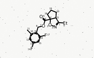 CCC1=NOC2(C(=O)OCc3c(C)cc(F)cc3F)CCCC12